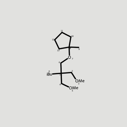 CCC(C)C(COC)(COC)COC1(C)CCCC1